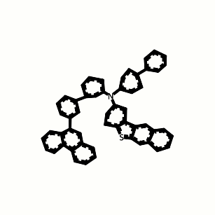 c1ccc(-c2ccc(N(c3cccc(-c4cccc(-c5cc6ccccc6c6ccccc56)c4)c3)c3ccc4sc5cc6ccccc6cc5c4c3)cc2)cc1